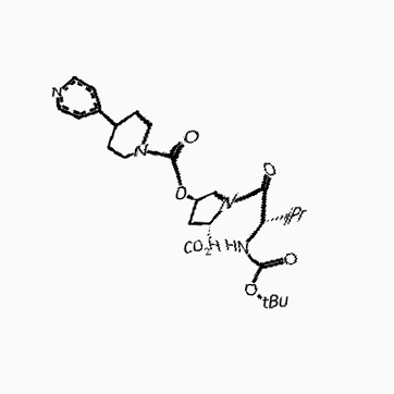 CC(C)[C@H](NC(=O)OC(C)(C)C)C(=O)N1C[C@H](OC(=O)N2CCC(c3ccncc3)CC2)C[C@H]1C(=O)O